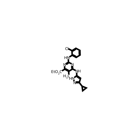 CCOC(=O)c1nc(Nc2ccccc2Cl)nc(Nc2cc(C3CC3)n[nH]2)c1C